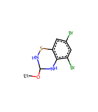 CCOC1NSc2cc(Br)cc(Br)c2N1